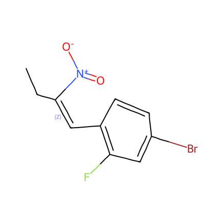 CC/C(=C/c1ccc(Br)cc1F)[N+](=O)[O-]